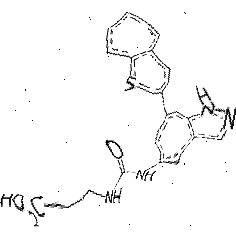 O=C(O)CCNC(=O)Nc1cc(-c2cc3ccccc3s2)c2[nH]ncc2c1